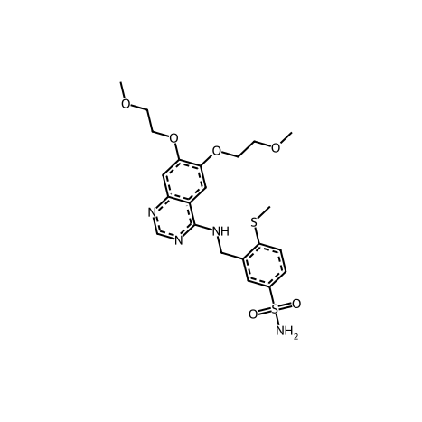 COCCOc1cc2ncnc(NCc3cc(S(N)(=O)=O)ccc3SC)c2cc1OCCOC